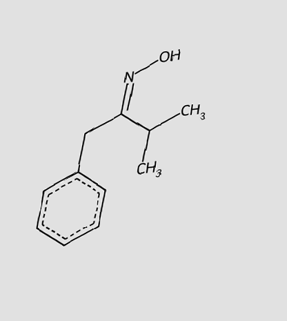 CC(C)/C(Cc1ccccc1)=N\O